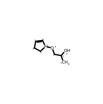 CC(O)COP1C=CCC1